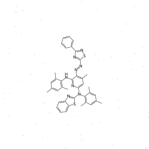 Cc1cc(C)c(Nc2nc(N(c3nc4ccccc4s3)c3c(C)cc(C)cc3C)cc(C)c2N=Nc2nc(-c3ccccc3)ns2)c(C)c1